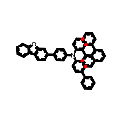 c1ccc(-c2ccc(N(c3ccc(-c4ccc5c(c4)oc4ccccc45)cc3)c3ccccc3-c3cccc4cccc(-c5ccccc5)c34)cc2)cc1